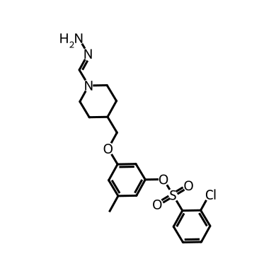 Cc1cc(OCC2CCN(C=NN)CC2)cc(OS(=O)(=O)c2ccccc2Cl)c1